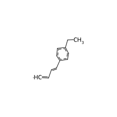 [CH]=CC=Cc1ccc(CC)cc1